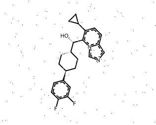 O[C@H](c1c(C2CC2)ccc2cncn12)[C@H]1CC[C@H](c2ccc(F)c(F)c2)CC1